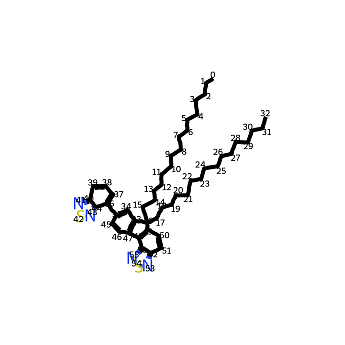 CCCCCCCCCCCCCCCCC1(CCCCCCCCCCCCCCCC)c2cc(-c3cccc4nsnc34)ccc2-c2c1ccc1nsnc21